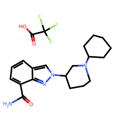 NC(=O)c1cccc2cn(C3CCCN(C4CCCCC4)C3)nc12.O=C(O)C(F)(F)F